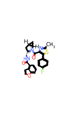 Cc1nc(C(=O)N2[C@H](CNC(=O)c3cccc4occc34)C[C@@H]3C[C@@H]32)c(-c2ccc(F)cc2)s1